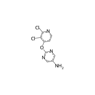 Nc1cnc(Oc2ccnc(Cl)c2Cl)nc1